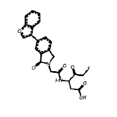 O=C(O)CC(NC(=O)CN1Cc2ccc(-c3coc4ccccc34)cc2C1=O)C(=O)CF